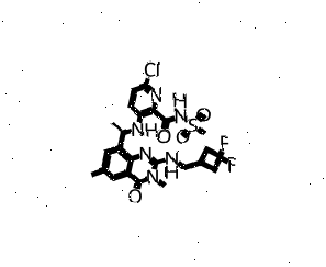 Cc1cc([C@@H](C)Nc2ccc(Cl)nc2C(=O)NS(C)(=O)=O)c2nc(NCC3CC(F)(F)C3)n(C)c(=O)c2c1